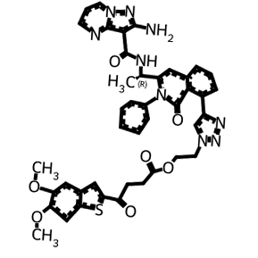 COc1cc2cc(C(=O)CCC(=O)OCCn3cc(-c4cccc5cc([C@@H](C)NC(=O)c6c(N)nn7cccnc67)n(-c6ccccc6)c(=O)c45)nn3)sc2cc1OC